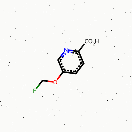 O=C(O)c1ccc(OCF)cn1